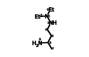 CCN(CC)NCCC(C)N